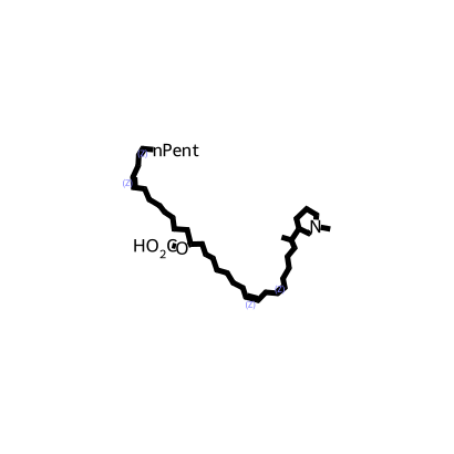 CCCCC/C=C\C/C=C\CCCCCCCC(CCCCCCC/C=C\C/C=C\CCCCC(C)C1CCCN(C)C1)OC(=O)O